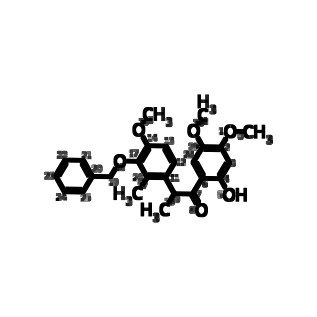 COc1cc(O)c(C(=O)C(C)c2ccc(OC)c(OCc3ccccc3)c2C)cc1OC